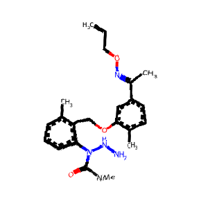 C=CCON=C(C)c1ccc(C)c(OCc2c(C)cccc2N(NN)C(=O)NC)c1